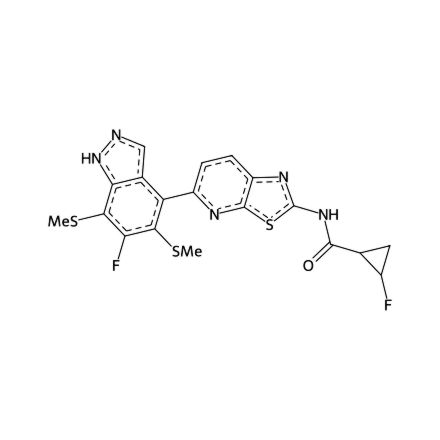 CSc1c(F)c(SC)c2[nH]ncc2c1-c1ccc2nc(NC(=O)C3CC3F)sc2n1